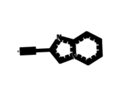 [C]#Cc1cn2ccccc2n1